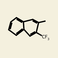 Cc1cc2ccccc2cc1C(F)(F)F